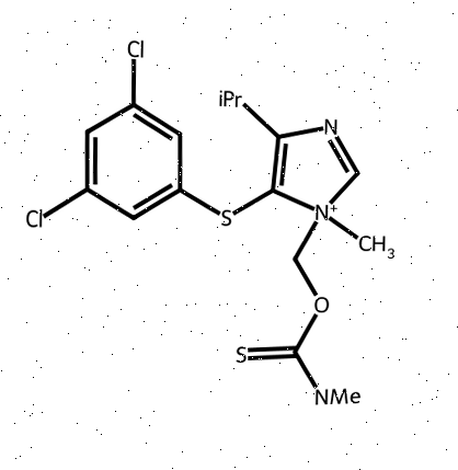 CNC(=S)OC[N+]1(C)C=NC(C(C)C)=C1Sc1cc(Cl)cc(Cl)c1